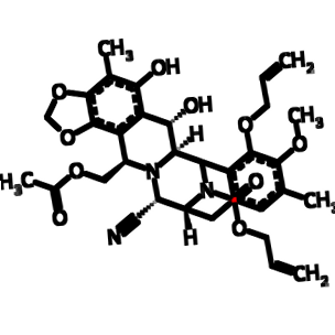 C=CCOC(=O)N1C2c3c(cc(C)c(OC)c3OCC=C)C[C@@H]1[C@H](C#N)N1[C@H]2[C@@H](O)c2c(O)c(C)c3c(c2[C@@H]1COC(C)=O)OCO3